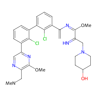 C=C(/N=C(/OC)C(=N)CN1CCC(O)CC1)c1cccc(-c2cccc(-c3cnc(CNC)c(OC)n3)c2Cl)c1Cl